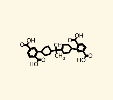 CC(C)(C1CCC(c2cc(C(=O)O)ccc2C(=O)O)CC1)C1CCC(c2cc(C(=O)O)ccc2C(=O)O)CC1